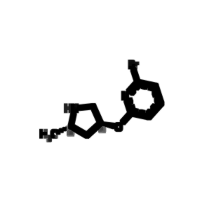 C[C@H]1C[C@H](Oc2cccc(Br)n2)CN1